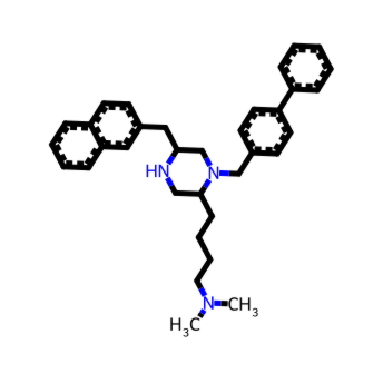 CN(C)CCCCC1CNC(Cc2ccc3ccccc3c2)CN1Cc1ccc(-c2ccccc2)cc1